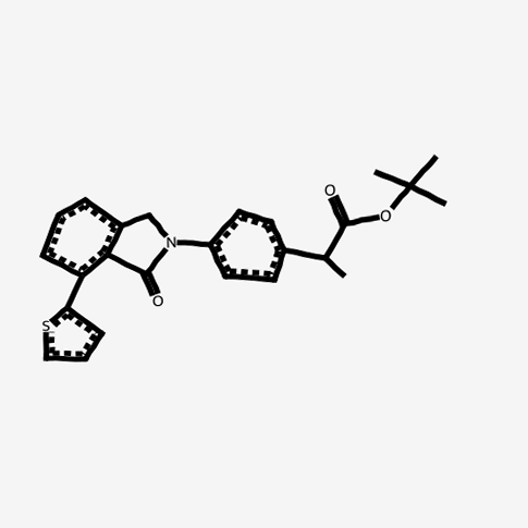 CC(C(=O)OC(C)(C)C)c1ccc(N2Cc3cccc(-c4cccs4)c3C2=O)cc1